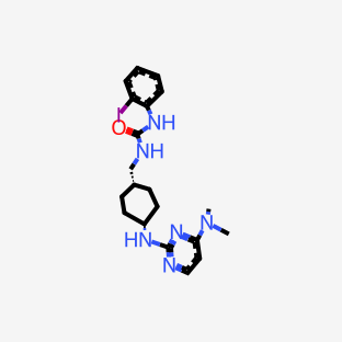 CN(C)c1ccnc(N[C@H]2CC[C@@H](CNC(=O)Nc3ccccc3I)CC2)n1